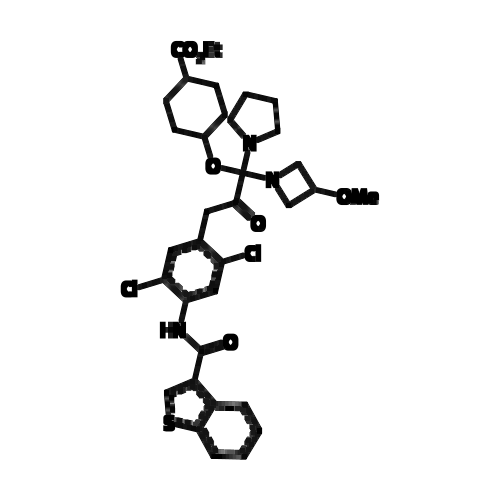 CCOC(=O)C1CCC(OC(C(=O)Cc2cc(Cl)c(NC(=O)c3csc4ccccc34)cc2Cl)(N2CCCC2)N2CC(OC)C2)CC1